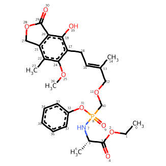 CCOC(=O)[C@H](C)NP(=O)(COC/C(C)=C/Cc1c(O)c2c(c(C)c1OC)COC2=O)Oc1ccccc1